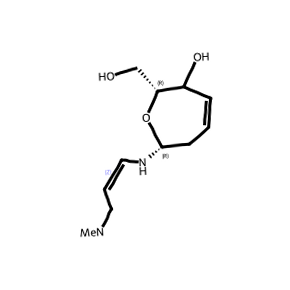 CNC/C=C\N[C@H]1CC=CC(O)[C@@H](CO)O1